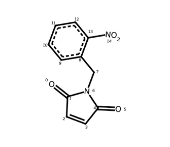 O=C1C=CC(=O)N1Cc1ccccc1[N+](=O)[O-]